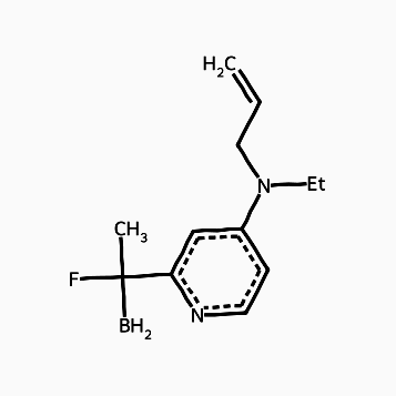 BC(C)(F)c1cc(N(CC)CC=C)ccn1